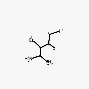 BC(N)C(CC)C(C)CI